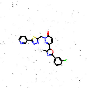 Cc1nc(-c2cccc(Cl)c2)oc1-c1ccc(=O)n(Cc2nnc(-c3cccnc3)s2)n1